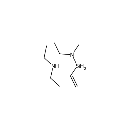 C=C[SiH2]N(C)CC.CCNCC